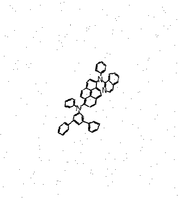 c1ccc(-c2cc(-c3ccccc3)cc(N(c3ccccc3)c3ccc4ccc5c(N(c6ccccc6)c6nccc7ccccc67)ccc6ccc3c4c65)c2)cc1